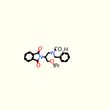 CC(C)OCC(CN(Cc1ccccc1)C(=O)O)N1C(=O)c2ccccc2C1=O